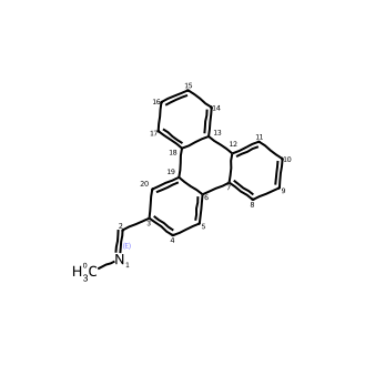 C/N=C/c1ccc2c3ccccc3c3ccccc3c2c1